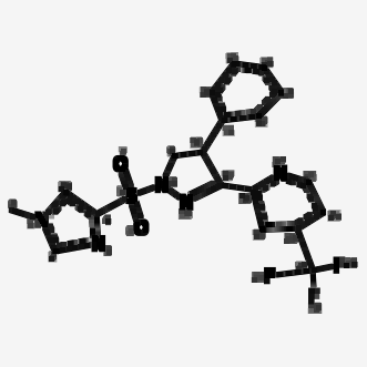 Cn1cnc(S(=O)(=O)N2CC(c3ccccc3)C(c3cc(C(F)(F)F)ccn3)=N2)c1